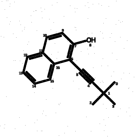 CC(C)(C)C#Cc1c(O)ccc2ccccc12